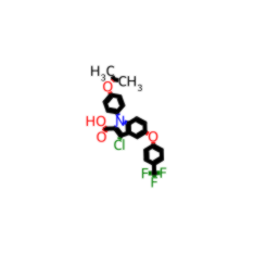 CC(C)Oc1ccc(-n2c(C(=O)O)c(Cl)c3cc(Oc4ccc(C(F)(F)F)cc4)ccc32)cc1